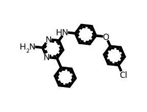 Nc1nc(Nc2ccc(Oc3ccc(Cl)cc3)cc2)cc(-c2ccccc2)n1